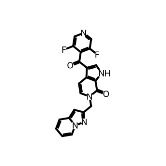 O=C(c1c(F)cncc1F)c1c[nH]c2c(=O)n(Cc3cc4ccccn4n3)ccc12